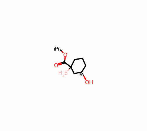 BC1(C(=O)OC(C)C)CCC[C@@H](O)C1